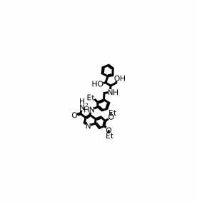 CCOc1cc2ncc(C(N)=O)c(Nc3cccc(CNC(CO)C(O)c4ccccc4)c3CC)c2cc1OCC